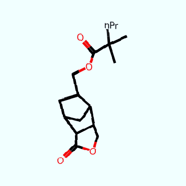 CCCC(C)(C)C(=O)OCC1CC2CC1C1COC(=O)C21